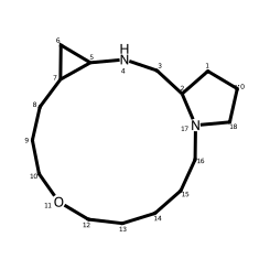 [C]1CC2CNC3CC3CCCOCCCCCN2C1